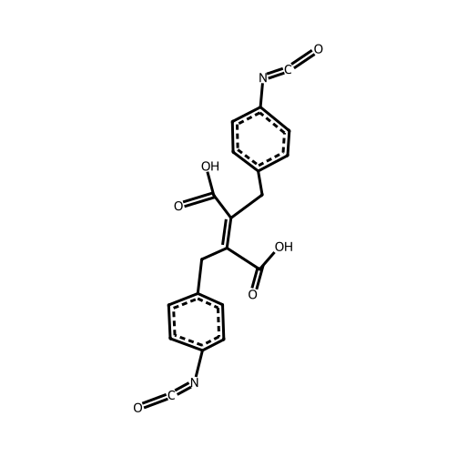 O=C=Nc1ccc(CC(C(=O)O)=C(Cc2ccc(N=C=O)cc2)C(=O)O)cc1